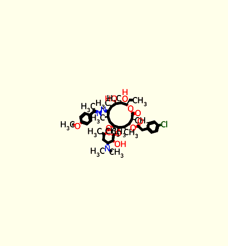 CC[C@H]1OC(=O)[C@H](C)[C@@H](OC(=O)Cc2ccc(Cl)cc2)[C@H](C)[C@@H](OC2OC(C)CC(N(C)C)C2O)[C@](C)(OC)C[C@@H](C)/C(=N\N=C(/C)c2ccc(OC)cc2)[C@H](C)[C@@H](O)[C@]1(C)O